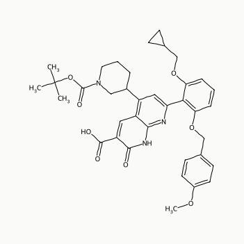 COc1ccc(COc2cccc(OCC3CC3)c2-c2cc(C3CCCN(C(=O)OC(C)(C)C)C3)c3cc(C(=O)O)c(=O)[nH]c3n2)cc1